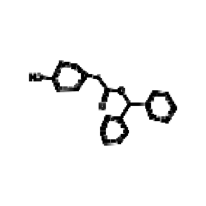 O=C([CH]c1ccc(O)cc1)OC(c1ccccc1)c1ccccc1